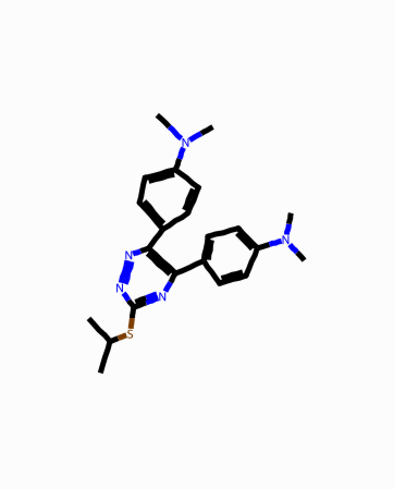 CC(C)Sc1nnc(-c2ccc(N(C)C)cc2)c(-c2ccc(N(C)C)cc2)n1